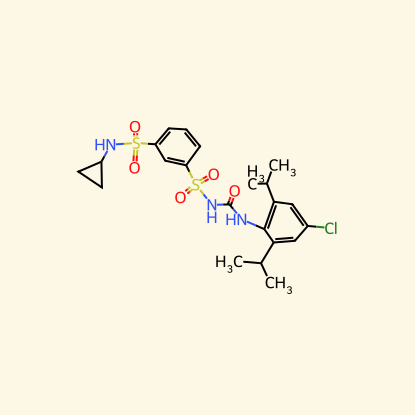 CC(C)c1cc(Cl)cc(C(C)C)c1NC(=O)NS(=O)(=O)c1cccc(S(=O)(=O)NC2CC2)c1